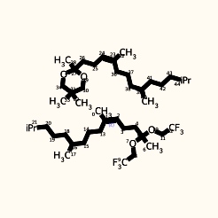 C/C(=C/CCC(C)(OCC(F)(F)F)OCC(F)(F)F)CCCC(C)CCCC(C)C.CC(=CCCC1(C)OCC(C)(C)CO1)CCCC(C)CCCC(C)C